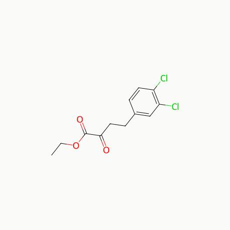 CCOC(=O)C(=O)CCc1ccc(Cl)c(Cl)c1